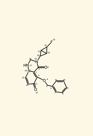 O=C1c2c(OCc3ccccc3)c(=O)ccn2NCN1C1C2C(F)C21